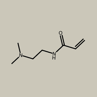 C=CC(=O)NCCN(C)C